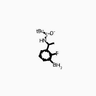 Bc1cccc(C(C)N[S+]([O-])C(C)(C)C)c1F